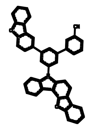 N#Cc1cccc(-c2cc(-c3ccc4oc5ccccc5c4c3)cc(-n3c4ccccc4c4c5oc6ccccc6c5ccc43)c2)c1